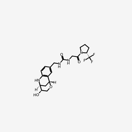 O=C(NCC(=O)N1CCC[C@@H]1C(F)(F)F)NCc1ccc2c(c1)[C@H]1C[C@H](N2)[C@H](O)CO1